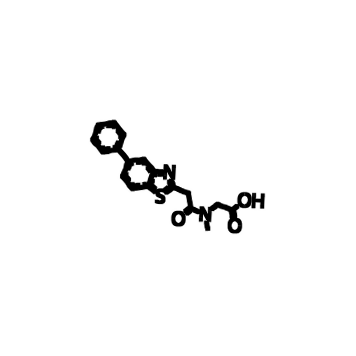 CN(CC(=O)O)C(=O)Cc1nc2cc(-c3ccccc3)ccc2s1